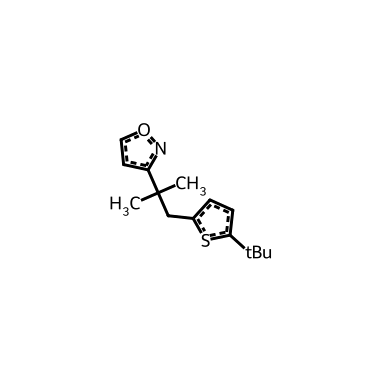 CC(C)(C)c1ccc(CC(C)(C)c2ccon2)s1